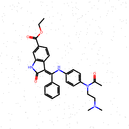 CCOC(=O)c1ccc2c(c1)NC(=O)C2=C(Nc1ccc(N(CCN(C)C)C(C)=O)cc1)c1ccccc1